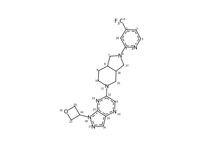 FC(F)(F)c1ccnc(N2CC3CCN(c4cnc5cnn(C6COC6)c5n4)CC3C2)c1